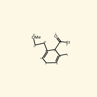 CCC(=O)C1C(C)=CCC=C1CCOC